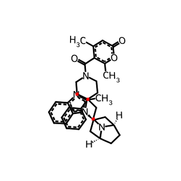 Cc1cc(=O)oc(C)c1C(=O)N1CCC(CCN2[C@@H]3CC[C@H]2C[C@@H](n2c(C)nc4ccccc42)C3)(c2ccccc2)CC1